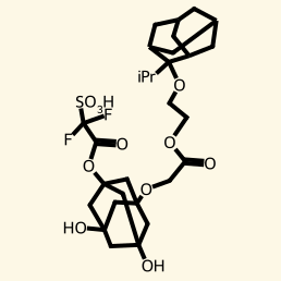 CC(C)C1(OCCOC(=O)COC23CC4(O)CC(O)(C2)CC(OC(=O)C(F)(F)S(=O)(=O)O)(C4)C3)C2CC3CC(C2)CC1C3